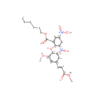 CCCCCCOC(=O)c1cc([N+](=O)[O-])cc([N+](=O)[O-])c1Oc1ccc(C=CC(=O)OC)cc1OC